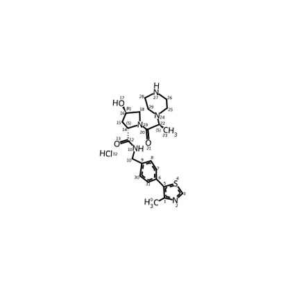 Cc1ncsc1-c1ccc(CNC(=O)[C@@H]2C[C@@H](O)CN2C(=O)[C@H](C)N2CCNCC2)cc1.Cl